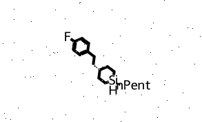 CCCCC[Si@H]1CC[C@H](CCc2ccc(F)cc2)CC1